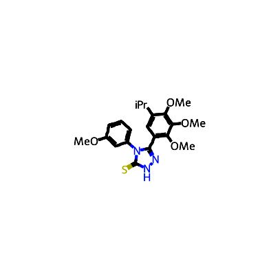 COc1cccc(-n2c(-c3cc(C(C)C)c(OC)c(OC)c3OC)n[nH]c2=S)c1